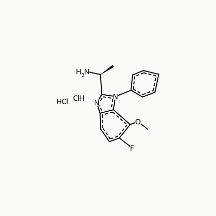 COc1c(F)ccc2nc([C@H](C)N)n(-c3ccccc3)c12.Cl.Cl